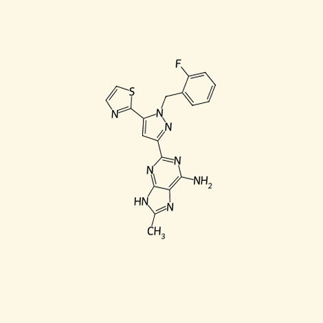 Cc1nc2c(N)nc(-c3cc(-c4nccs4)n(Cc4ccccc4F)n3)nc2[nH]1